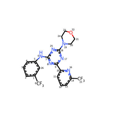 FC(F)(F)c1cccc(Nc2nc(-c3cccc(C(F)(F)F)n3)nc(N3CCOCC3)n2)c1